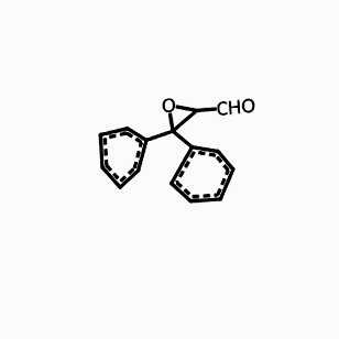 O=CC1OC1(c1ccccc1)c1ccccc1